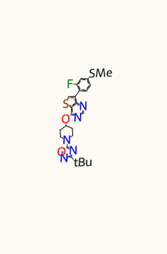 CSc1ccc(-c2csc3c(OC4CCN(c5nc(C(C)(C)C)no5)CC4)ncnc23)c(F)c1